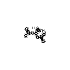 Cc1cc(-c2cc(-c3ccc(-c4nc(-c5ccccc5)nc(-c5ccccc5)n4)cc3)cc(-c3cccc(-c4nc(-c5ccccc5)cc(-c5ccccc5)n4)c3)c2)nc(C)n1